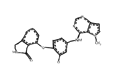 Cn1ccc2ncnc(Nc3ccc(Oc4cccc5c4C(=O)NC5)c(Cl)c3)c21